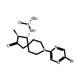 C[C@@H]1C(=O)CC2(CCN(c3cnc(Br)cn3)CC2)[C@H]1N[S@+]([O-])C(C)(C)C